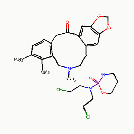 COc1ccc2c(c1OC)CN(C)CCc1cc3c(cc1C(=O)C2)OCO3.O=P1(N(CCCl)CCCl)NCCCO1